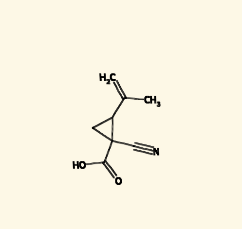 C=C(C)C1CC1(C#N)C(=O)O